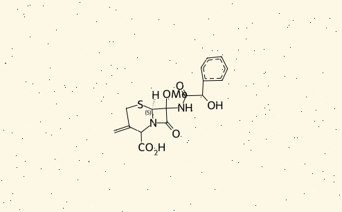 C=C1CS[C@@H]2N(C(=O)C2(NC(=O)C(O)c2ccccc2)OC)C1C(=O)O